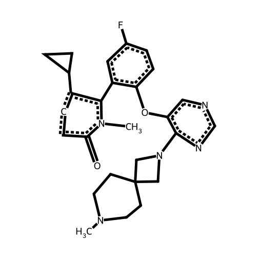 CN1CCC2(CC1)CN(c1ncncc1Oc1ccc(F)cc1-c1c(C3CC3)ccc(=O)n1C)C2